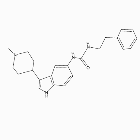 CN1CCC(c2c[nH]c3ccc(NC(=O)NCCc4ccccc4)cc23)CC1